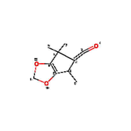 CC1C(=C=O)C(C)(C)C2=C1OCO2